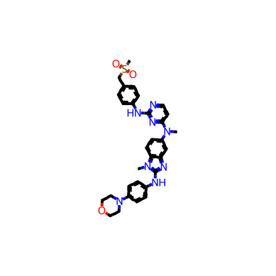 CN(c1ccc2c(c1)nc(Nc1ccc(N3CCOCC3)cc1)n2C)c1ccnc(Nc2ccc(CS(C)(=O)=O)cc2)n1